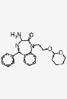 NC1N=C(c2ccccc2)c2ccccc2N(CCOC2CCCCO2)C1=O